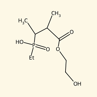 CCP(=O)(O)C(C)C(C)C(=O)OCCO